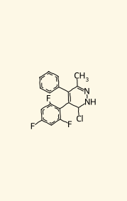 CC1=NNC(Cl)C(c2c(F)cc(F)cc2F)=C1c1ccccc1